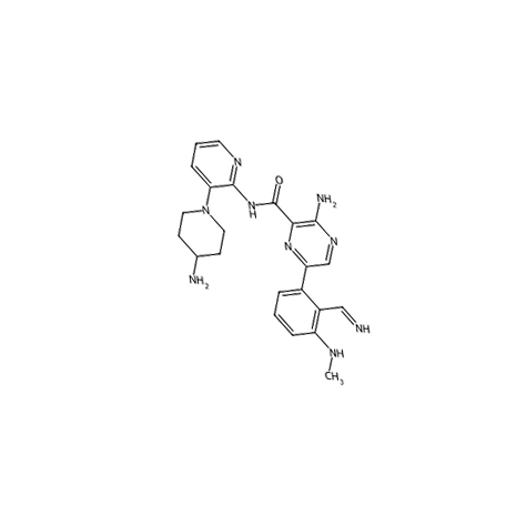 CNc1cccc(-c2cnc(N)c(C(=O)Nc3ncccc3N3CCC(N)CC3)n2)c1C=N